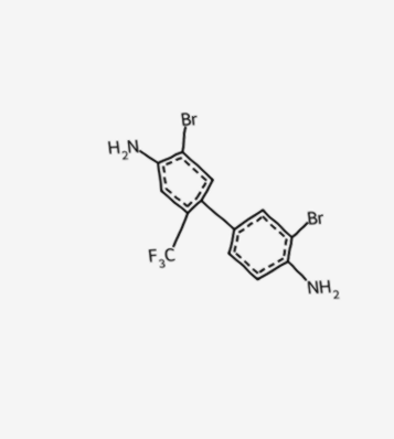 Nc1ccc(-c2cc(Br)c(N)cc2C(F)(F)F)cc1Br